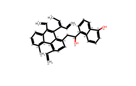 C=C/C(=C/C)c1c(C=C)c2cccc(C)c2c2c(C=C)ccc(CC(O)c3cccc4c(O)cccc34)c12